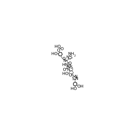 Nc1nc(C(=NOCc2ccc(OC(=O)O)c(O)c2)C(=O)N[C@@H]2C(=O)N3C(C(=O)O)=C(CSc4nnc(-c5ccc(O)c(O)c5)s4)CS[C@@H]23)cs1